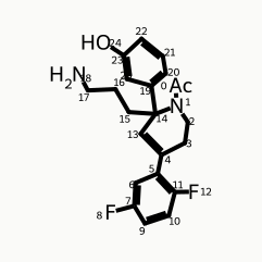 CC(=O)N1CCC(c2cc(F)ccc2F)=CC1(CCCN)c1cccc(O)c1